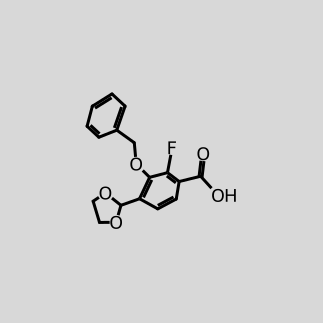 O=C(O)c1ccc(C2OCCO2)c(OCc2ccccc2)c1F